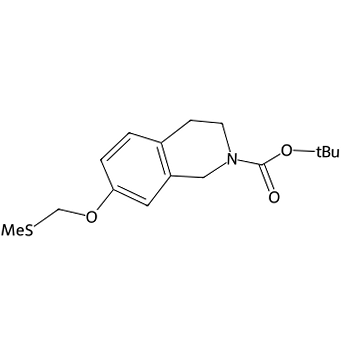 CSCOc1ccc2c(c1)CN(C(=O)OC(C)(C)C)CC2